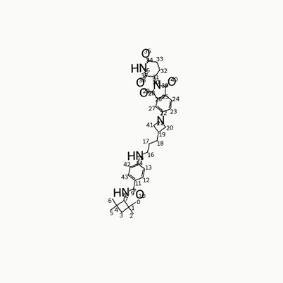 CC1(C)CC(C)(C)C1NC(=O)c1ccc(NCCCC2CN(c3ccc4c(c3)C(=O)N(C3CCC(=O)NC3=O)C4=O)C2)cc1